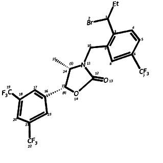 CCC(Br)c1ccc(C(F)(F)F)cc1CN1C(=O)O[C@H](c2cc(C(F)(F)F)cc(C(F)(F)F)c2)[C@@H]1C